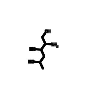 CC(O)CC(O)C(N)CO